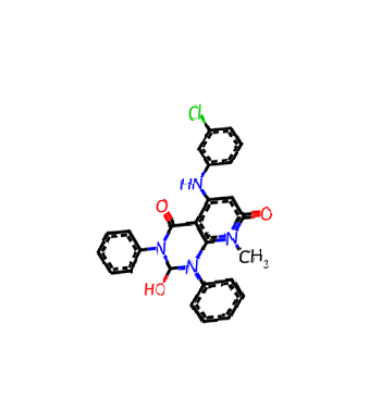 Cn1c2c(c(Nc3cccc(Cl)c3)cc1=O)C(=O)N(c1ccccc1)C(O)N2c1ccccc1